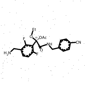 CCO[C@@](OC(C)=O)(C(=O)NCc1ccc(C#N)cc1)c1c(F)ccc(CN)c1F